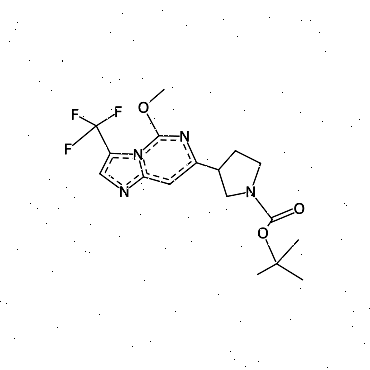 COc1nc(C2CCN(C(=O)OC(C)(C)C)C2)cc2ncc(C(F)(F)F)n12